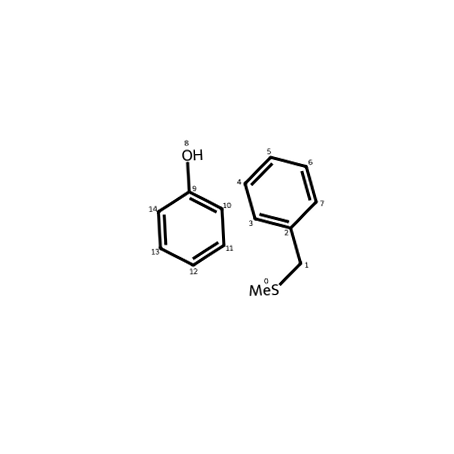 CSCc1ccccc1.Oc1ccccc1